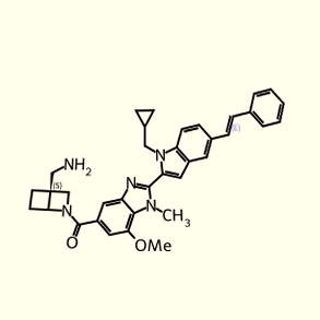 COc1cc(C(=O)N2C[C@@]3(CN)CCC23)cc2nc(-c3cc4cc(/C=C/c5ccccc5)ccc4n3CC3CC3)n(C)c12